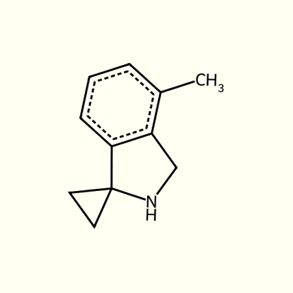 Cc1cccc2c1CNC21CC1